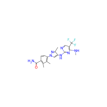 CNc1nc(Nc2cn(-c3ccc(C(N)=O)c(C)c3C)nc2C)ncc1C(F)(F)F